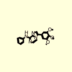 COc1cc(-c2cnc3c(Nc4ccccc4)nccn23)cc(OC)c1OC